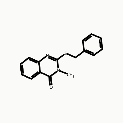 Cn1c(SCc2ccccc2)nc2ccccc2c1=O